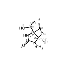 CC(C)[C@H](O)[C@@]12NC(=O)C(C)[C@]1(C(F)(F)F)OC2=O